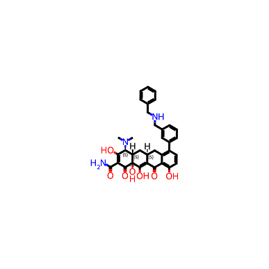 CN(C)[C@@H]1C(O)=C(C(N)=O)C(=O)[C@@]2(O)C(O)=C3C(=O)c4c(O)ccc(-c5cccc(CNCc6ccccc6)c5)c4C[C@@H]3C[C@@H]12